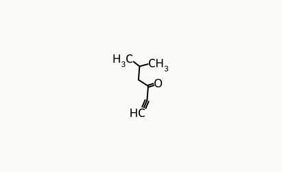 C#CC(=O)CC(C)C